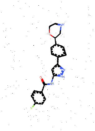 O=C(Nc1cc(-c2ccc(C3CNCCO3)cc2)n[nH]1)c1ccc(F)cc1